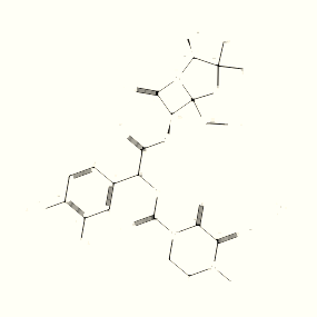 CCN1CCN(C(=O)NC(C(=O)N[C@H]2C(=O)N3[C@@H](C(=O)[O-])C(C)(C)SC23NC=O)c2ccc(OC(C)=O)c(OC(C)=O)c2)C(=O)C1=O.[Na+]